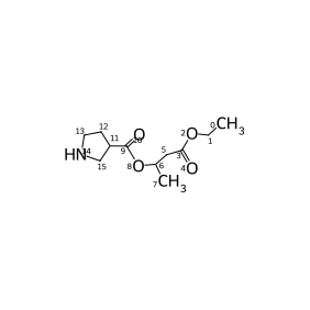 CCOC(=O)CC(C)OC(=O)C1CCNC1